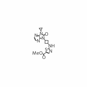 COC(=O)c1cnc(NC2CC(n3c(=O)n(C4CC4)c4nccnc43)C2)s1